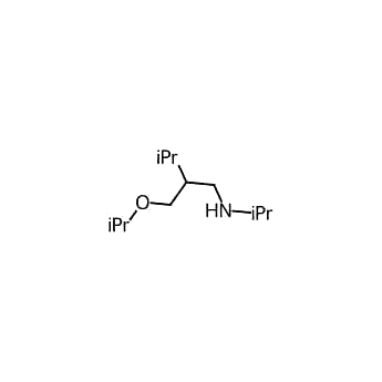 CC(C)NCC(COC(C)C)C(C)C